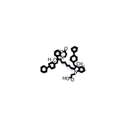 CC1(Cc2ccc(-c3ccccc3)cc2)C(/C=C/C=C/C=C2/N(CCC(=O)O)c3ccccc3C2(C)Cc2ccc(-c3ccccc3)cc2)=[N+](CCC(=O)O)c2ccccc21